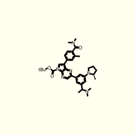 Cc1cc(-c2cn(C(=O)OC(C)(C)C)c3ncc(-c4cc(C(C)N(C)C)cc(N5CCC[C@H]5C)c4)nc23)ccc1C(=O)N(C)C